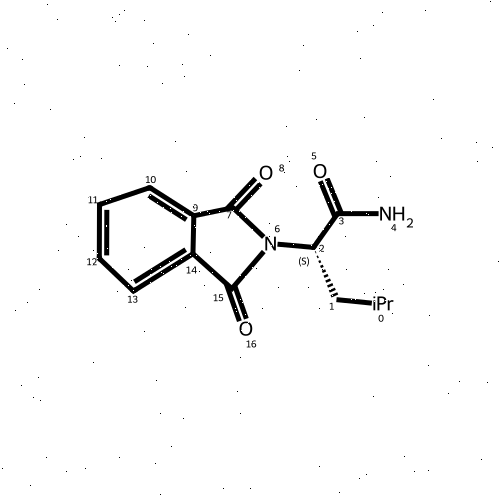 CC(C)C[C@@H](C(N)=O)N1C(=O)c2ccccc2C1=O